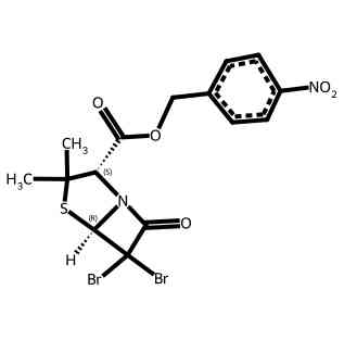 CC1(C)S[C@H]2N(C(=O)C2(Br)Br)[C@H]1C(=O)OCc1ccc([N+](=O)[O-])cc1